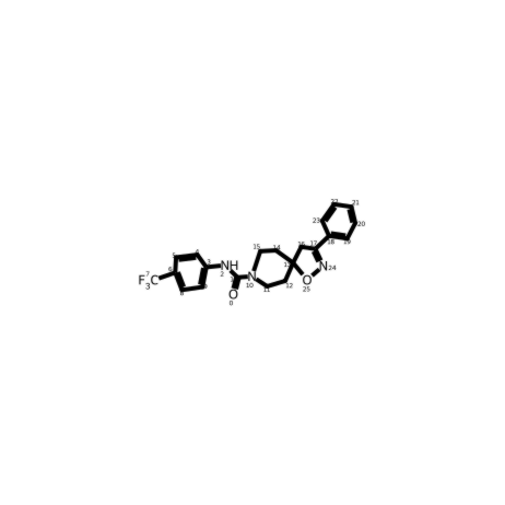 O=C(Nc1ccc(C(F)(F)F)cc1)N1CCC2(CC1)CC(c1ccccc1)=NO2